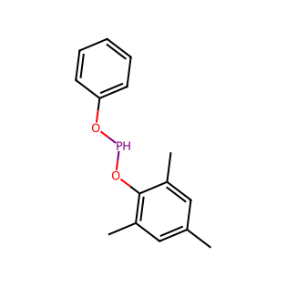 Cc1cc(C)c(OPOc2ccccc2)c(C)c1